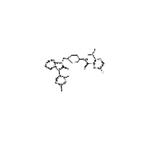 Cc1cc(F)ncc1-n1c(=O)n(CC2CCC(NC(=O)c3cc(Cl)cnc3C(F)F)CC2)c2ccccc21